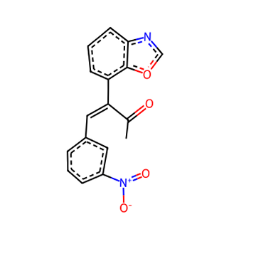 CC(=O)/C(=C\c1cccc([N+](=O)[O-])c1)c1cccc2ncoc12